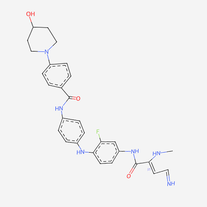 CN/C(=C\C=N)C(=O)Nc1ccc(Nc2ccc(NC(=O)c3ccc(N4CCC(O)CC4)cc3)cc2)c(F)c1